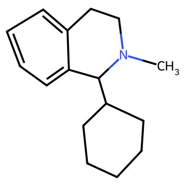 CN1CCc2ccccc2C1C1CCCCC1